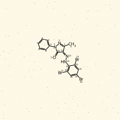 CC1=NN(c2ccccc2)C(=O)C1=NNc1c(Br)cc(Br)cc1Br